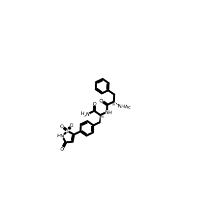 CC(=O)N[C@@H](Cc1ccccc1)C(=O)N[C@@H](Cc1ccc(C2=CC(=O)NS2(=O)=O)cc1)C(N)=O